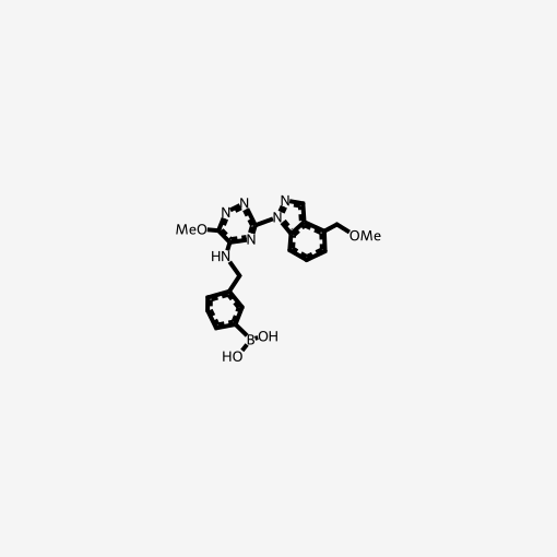 COCc1cccc2c1cnn2-c1nnc(OC)c(NCc2cccc(B(O)O)c2)n1